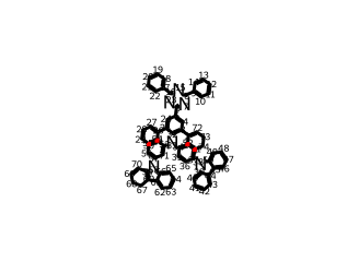 C1=CC(c2cc(-c3nc(-c4ccccc4)nc(-c4ccccc4)n3)cc(-c3ccccc3)c2N(c2ccc(-n3c4ccccc4c4ccccc43)cc2)c2cccc(-n3c4c(c5ccccc53)CCC=C4)c2)=CCC1